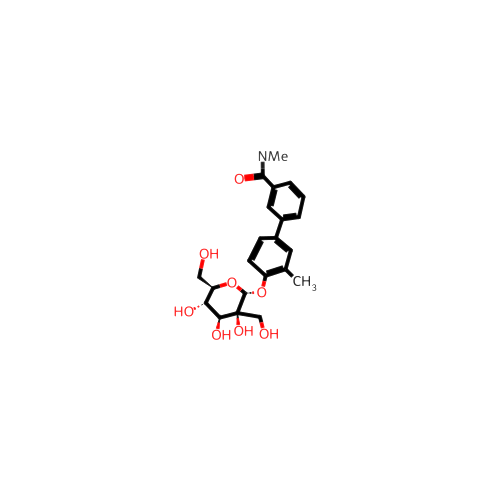 CNC(=O)c1cccc(-c2ccc(O[C@H]3O[C@H](CO)[C@@H](O)[C@H](O)[C@@]3(O)CO)c(C)c2)c1